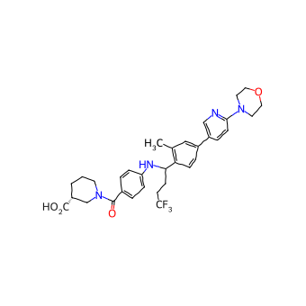 Cc1cc(-c2ccc(N3CCOCC3)nc2)ccc1C(CCC(F)(F)F)Nc1ccc(C(=O)N2CCC[C@@H](C(=O)O)C2)cc1